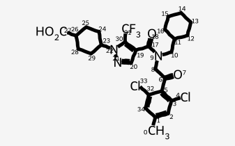 Cc1cc(Cl)c(C(=O)CN(CC2CCCCC2)C(=O)c2cnn(C3CCC(C(=O)O)CC3)c2C(F)(F)F)c(Cl)c1